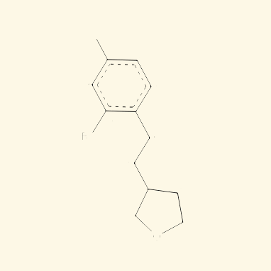 Fc1ccc(CCC2CCOC2)c(Br)c1